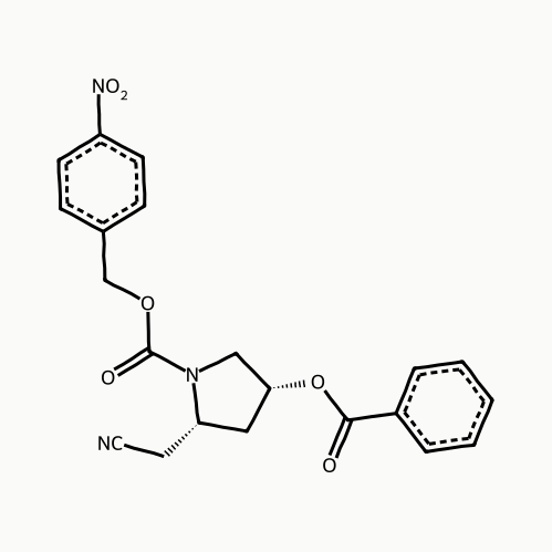 N#CC[C@H]1C[C@@H](OC(=O)c2ccccc2)CN1C(=O)OCc1ccc([N+](=O)[O-])cc1